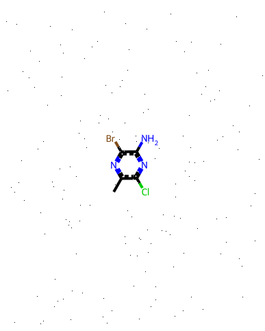 Cc1nc(Br)c(N)nc1Cl